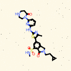 CNS(=O)(=O)c1cc(-c2sc(Nc3cccc(N4CCNCCC4=O)n3)nc2C)cc2c1C(=O)N(CCC1CC1)C2